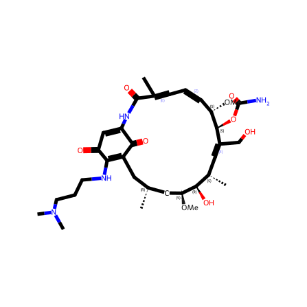 CO[C@H]1/C=C\C=C(/C)C(=O)NC2=CC(=O)C(NCCCN(C)C)=C(C[C@@H](C)C[C@H](OC)[C@H](O)[C@@H](C)/C=C(\CO)[C@@H]1OC(N)=O)C2=O